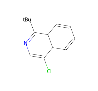 CC(C)(C)C1=NC=C(Cl)C2C=CC=CC12